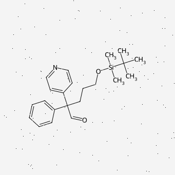 CC(C)(C)[Si](C)(C)OCCCC(C=O)(c1ccccc1)c1ccncc1